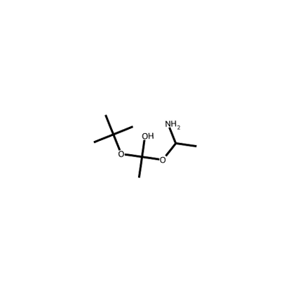 CC(N)OC(C)(O)OC(C)(C)C